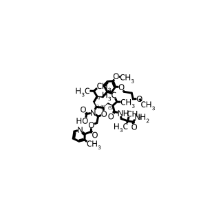 COCCCOc1cc(C[C@@H](C[C@H]2[C@H](C[C@H](C(=O)NCC(C)(C)C(N)=O)C(C)C)OC(COC(=O)c3ncccc3C)N2C(=O)O)C(C)C)ccc1OC